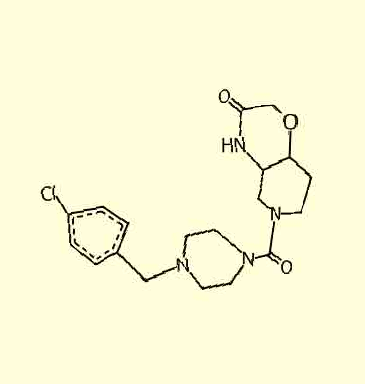 O=C1COC2CCN(C(=O)N3CCN(Cc4ccc(Cl)cc4)CC3)CC2N1